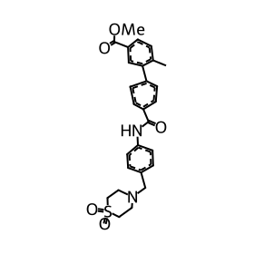 COC(=O)c1ccc(C)c(-c2ccc(C(=O)Nc3ccc(CN4CCS(=O)(=O)CC4)cc3)cc2)c1